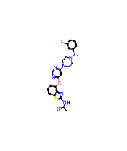 CC(=O)Nc1nc2c(Oc3cc(N4CCN([C@@H](C)c5cccc(F)c5)CC4)ncn3)cccc2s1